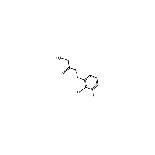 NCC(=O)OCc1cccc(F)c1Br